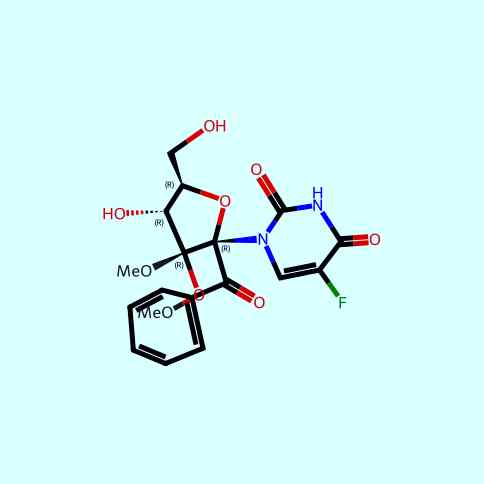 COO[C@]1(OC)[C@H](O)[C@@H](CO)O[C@@]1(C(=O)c1ccccc1)n1cc(F)c(=O)[nH]c1=O